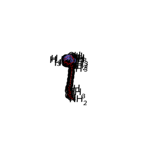 CO[C@H]1C[C@@H]2CC[C@@H](C)[C@@](O)(O2)C(=O)C(=O)N2CCCC[C@H]2C(=O)O[C@H]([C@H](N)C[C@@H]2CC[C@@H](OC(=S)NCCOCCOCCOCCOCCOCCOCCOCCOCCC(=O)NCC[S+]([O-])c3ccc(C(=O)N4CCOc5ccc(-c6ccc(N)nc6)cc5C4)c(C)c3)[C@H](OC)C2)CC(=O)[C@H](C)/C=C(\C)[C@@H](O)[C@@H](O)C(=O)[C@H](C)C[C@H](C)/C=C/C=C/C=C/1C